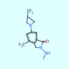 O=C1c2cc(N3CC(C(F)(F)F)C3)cc(C(F)(F)F)c2CN1NI